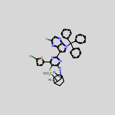 CCOC(=O)[C@@H]1C2CCC(CC2)[C@H]1Nc1nc(-c2cn(C(c3ccccc3)(c3ccccc3)c3ccccc3)c3ncc(F)nc23)nc(-c2ccc(Cl)s2)c1F